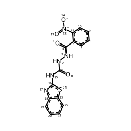 O=C(NNC(=O)c1ccccc1[N+](=O)[O-])Nc1nc2ccccc2s1